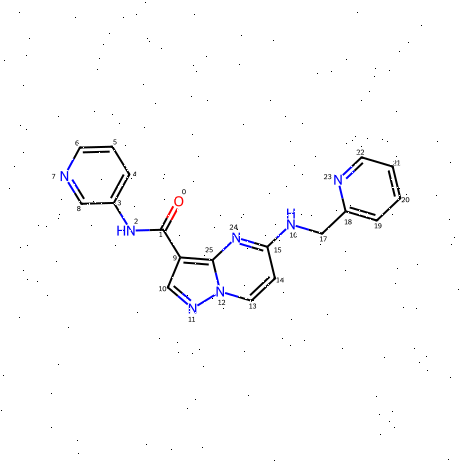 O=C(Nc1cccnc1)c1cnn2ccc(NCc3ccccn3)nc12